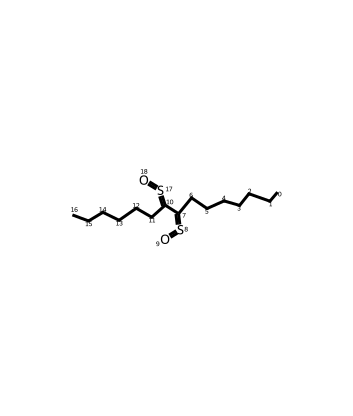 CCCCCCCC(=S=O)C(CCCCCC)=S=O